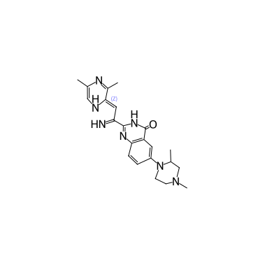 CC1=CN/C(=C\C(=N)c2nc3ccc(N4CCN(C)CC4C)cc3c(=O)[nH]2)C(C)=N1